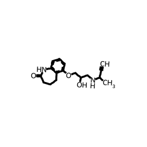 C#CC(C)NCC(O)COc1cccc2c1CCCC(=O)N2